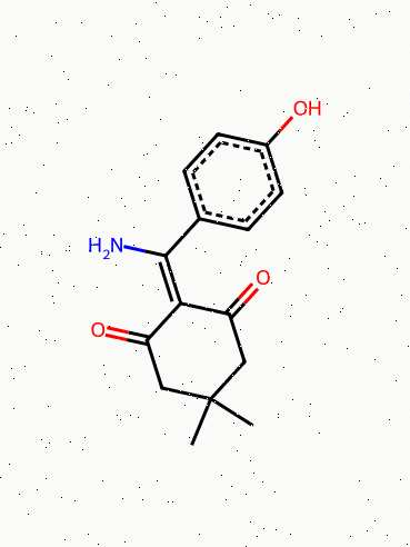 CC1(C)CC(=O)C(=C(N)c2ccc(O)cc2)C(=O)C1